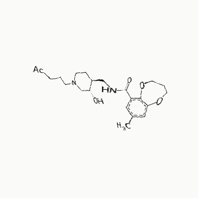 CC(=O)CCCN1CC[C@@H](CNC(=O)c2cc(C)cc3c2OCCCO3)[C@H](O)C1